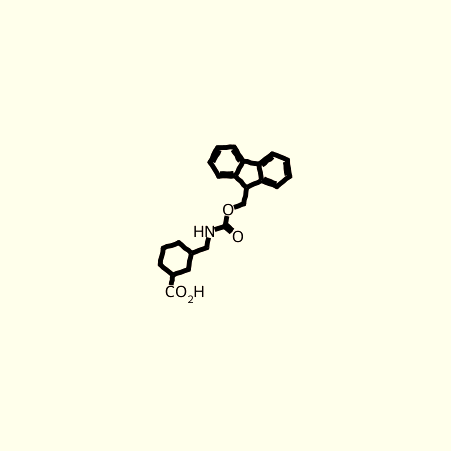 O=C(NCC1CCCC(C(=O)O)C1)OCC1c2ccccc2-c2ccccc21